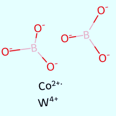 [Co+2].[O-]B([O-])[O-].[O-]B([O-])[O-].[W+4]